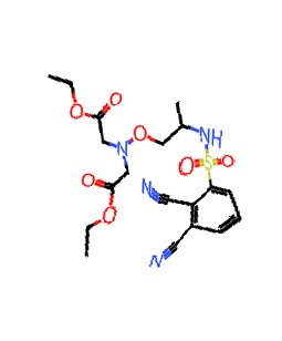 CCOC(=O)CN(CC(=O)OCC)OCC(C)NS(=O)(=O)c1cccc(C#N)c1C#N